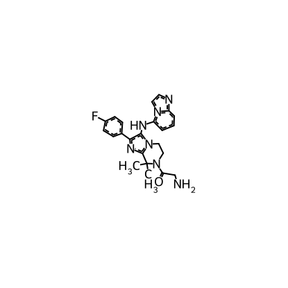 CC1(C)c2nc(-c3ccc(F)cc3)c(Nc3cccc4nccn34)n2CCN1C(=O)CN